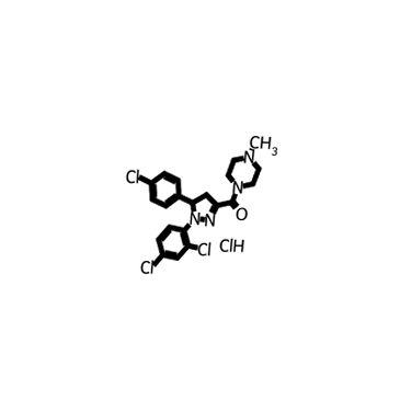 CN1CCN(C(=O)C2=NN(c3ccc(Cl)cc3Cl)C(c3ccc(Cl)cc3)C2)CC1.Cl